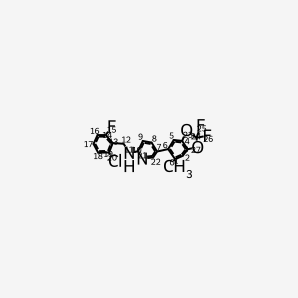 Cc1cc2c(cc1-c1ccc(NCc3c(F)cccc3Cl)nc1)OC(F)(F)O2